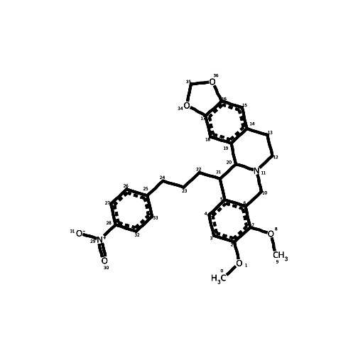 COc1ccc2c(c1OC)CN1CCc3cc4c(cc3C1C2CCCc1ccc([N+](=O)[O-])cc1)OCO4